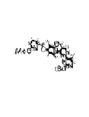 COc1cccc(COc2cc(C)n(-c3cc(-c4nc(C(C)(C)C)ncc4C)ncc3C)c(=O)c2C)n1